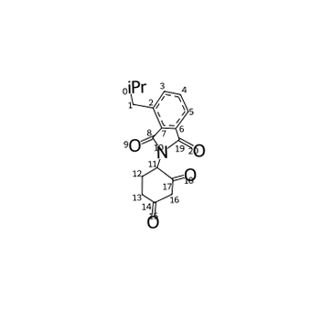 CC(C)Cc1cccc2c1C(=O)N(C1CCC(=O)CC1=O)C2=O